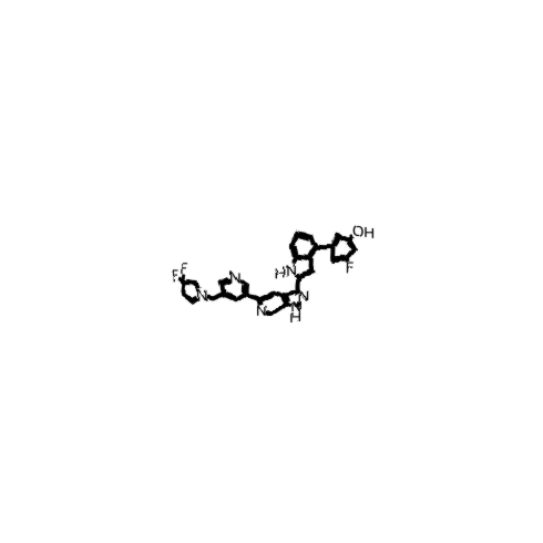 Oc1cc(F)cc(-c2cccc3[nH]c(-c4n[nH]c5cnc(-c6cncc(CN7CCC(F)(F)C7)c6)cc45)cc23)c1